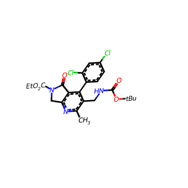 CCOC(=O)N1Cc2nc(C)c(CNC(=O)OC(C)(C)C)c(-c3ccc(Cl)cc3Cl)c2C1=O